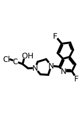 OC(CCl)CN1CCN(c2nc(F)cc3ccc(F)cc23)CC1